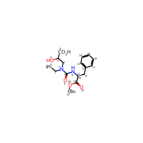 CC(C)CN(CC(O)C(=O)O)C(=O)N[C@@H](Cc1ccccc1)C(=O)OC(C)(C)C